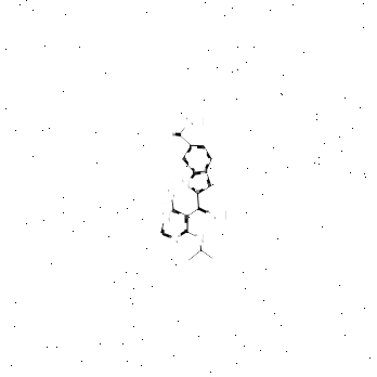 CC(C)Nc1ncnc(N)c1C(=N)c1cc2ccc(C(N)=O)cc2[nH]1